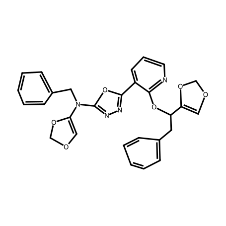 C1=C(C(Cc2ccccc2)Oc2ncccc2-c2nnc(N(Cc3ccccc3)C3=COCO3)o2)OCO1